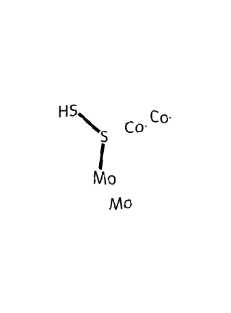 S[S][Mo].[Co].[Co].[Mo]